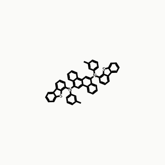 Cc1cccc(N(c2cc3c4ccccc4c(N(c4cccc(C)c4)c4cccc5c4sc4ccccc45)cc3c3ccccc23)c2cccc3c2sc2ccccc23)c1